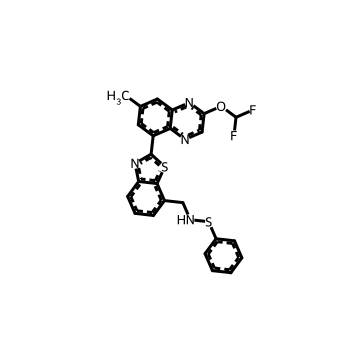 Cc1cc(-c2nc3cccc(CNSc4ccccc4)c3s2)c2ncc(OC(F)F)nc2c1